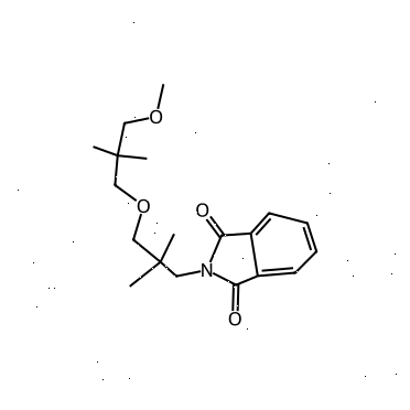 COCC(C)(C)COCC(C)(C)CN1C(=O)c2ccccc2C1=O